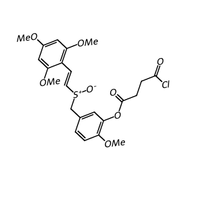 COc1cc(OC)c(/C=C/[S+]([O-])Cc2ccc(OC)c(OC(=O)CCC(=O)Cl)c2)c(OC)c1